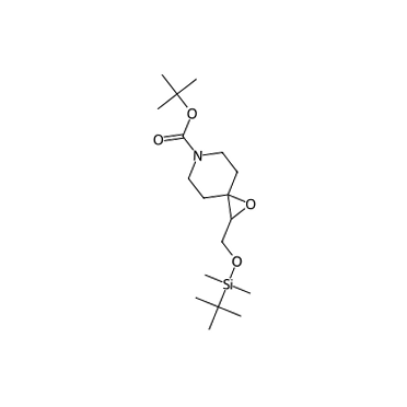 CC(C)(C)OC(=O)N1CCC2(CC1)OC2CO[Si](C)(C)C(C)(C)C